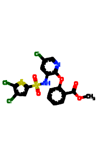 COC(=O)c1ccccc1Oc1ncc(Cl)cc1NS(=O)(=O)c1cc(Cl)c(Cl)s1